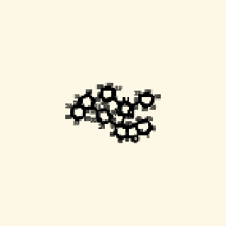 C1=CC2Oc3ccc(-c4ccc(-c5cccc6ccccc56)cc4)c(-c4nc(C5=CCCC=C5)nc(-c5ccccc5)n4)c3C2C=C1